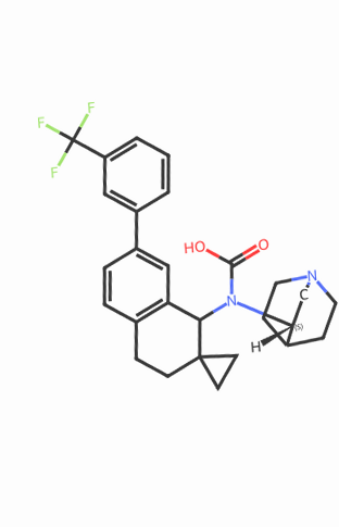 O=C(O)N(C1c2cc(-c3cccc(C(F)(F)F)c3)ccc2CCC12CC2)[C@@H]1CN2CCC1CC2